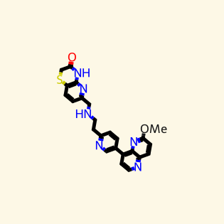 COc1ccc2nccc(-c3ccc(CCNCc4ccc5c(n4)NC(=O)CS5)nc3)c2n1